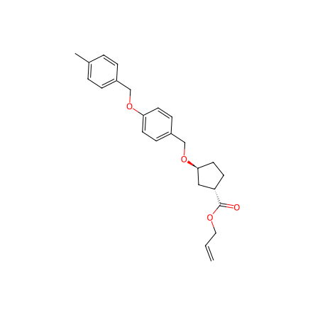 C=CCOC(=O)[C@H]1CC[C@H](OCc2ccc(OCc3ccc(C)cc3)cc2)C1